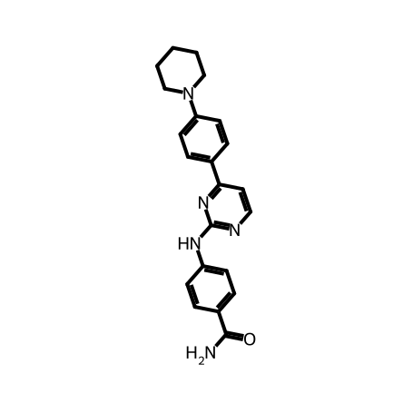 NC(=O)c1ccc(Nc2nccc(-c3ccc(N4CCCCC4)cc3)n2)cc1